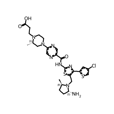 C[C@@H]1CC[C@@H](N)N1Cc1sc(NC(=O)c2cnc(N3CCN(CCC(=O)O)[C@@H](C)C3)cn2)nc1-c1cc(Cl)cs1